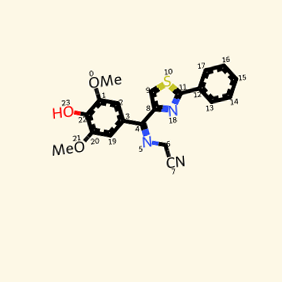 COc1cc(/C(=N/CC#N)c2csc(-c3ccccc3)n2)cc(OC)c1O